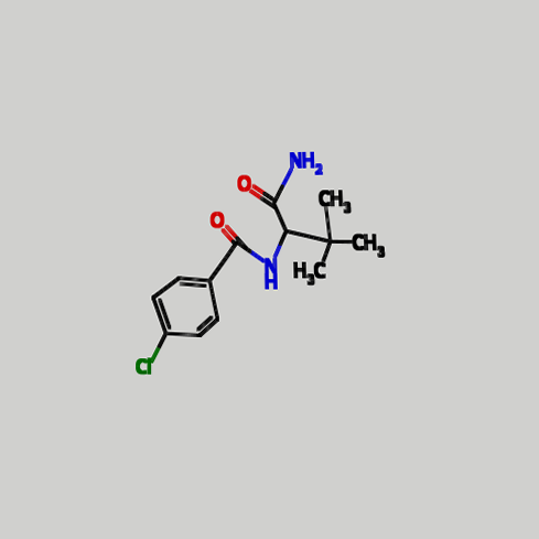 CC(C)(C)C(NC(=O)c1ccc(Cl)cc1)C(N)=O